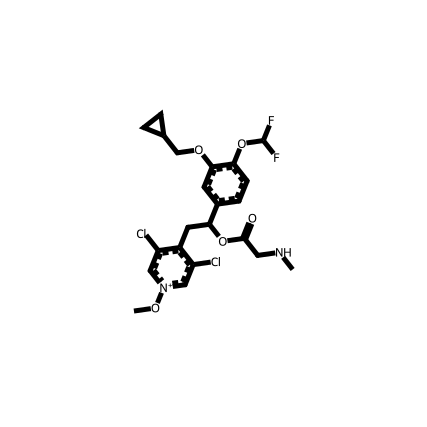 CNCC(=O)OC(Cc1c(Cl)c[n+](OC)cc1Cl)c1ccc(OC(F)F)c(OCC2CC2)c1